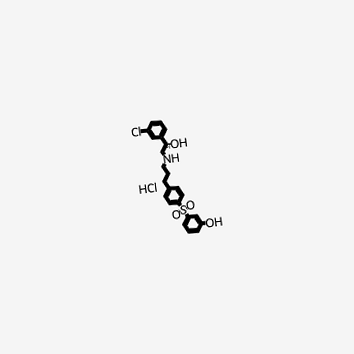 Cl.O=S(=O)(c1ccc(CCCNC[C@@H](O)c2cccc(Cl)c2)cc1)c1cccc(O)c1